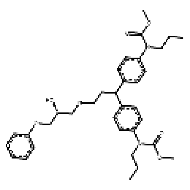 CCCN(C(=O)OC)c1ccc(C(CCNC[C@H](O)COc2ccccc2)c2ccc(N(CCC)C(=O)OC)cc2)cc1